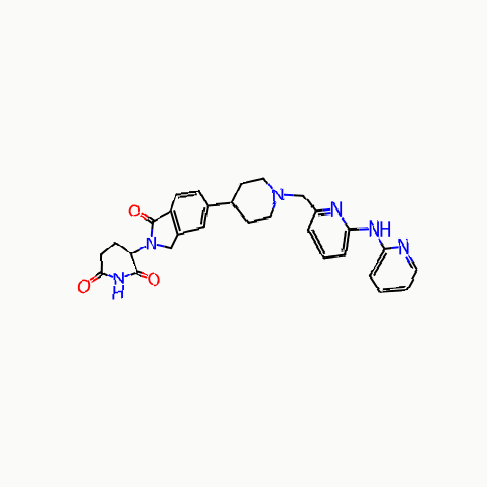 O=C1CCC(N2Cc3cc(C4CCN(Cc5cccc(Nc6ccccn6)n5)CC4)ccc3C2=O)C(=O)N1